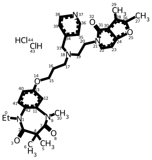 CCN1C(=O)C(C)(C)C(=O)N(C)c2cc(OCCCN(CCn3ccc4oc(C)c(C)c4c3=O)Cc3ccncc3)ccc21.Cl.Cl